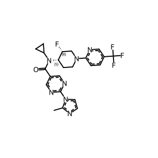 Cc1nccn1-c1ncc(C(=O)N(C2CC2)[C@H]2CCN(c3ccc(C(F)(F)F)cn3)C[C@H]2F)cn1